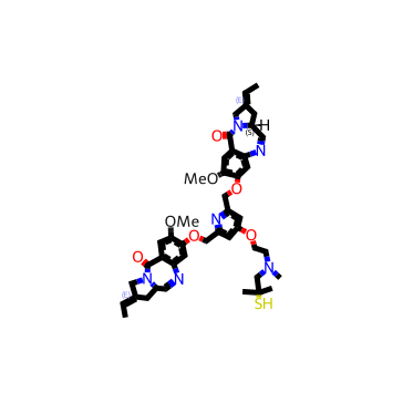 C/C=C1\CC2C=Nc3cc(OCc4cc(OCCN(C)CC(C)(C)S)cc(COc5cc6c(cc5OC)C(=O)N5C/C(=C/C)C[C@H]5C=N6)n4)c(OC)cc3C(=O)N2C1